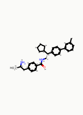 Cc1cccc(-c2ccc([C@H](CNC(=O)c3ccc(CC(N)C(=O)O)cc3)C3CCCC3)cc2)c1